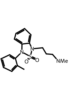 CNCCCN1c2ccccc2N(c2ccccc2C)S1(=O)=O